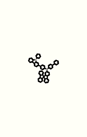 c1ccc(-c2ccc(N(c3ccc(-c4ccc5c6ccccc6n(-c6ccccc6)c5c4)cc3)c3ccc4c(c3)C3(c5ccccc5-c5ccccc53)c3ccccc3-4)cc2)cc1